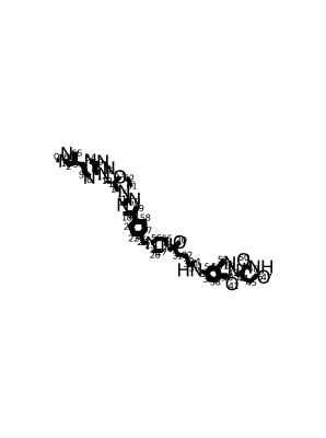 Cn1cc(-c2cnc3c(nnn3C[C@@H]3CN(c4ncc(-c5ccc(CN6CCN(C(=O)CCCCNc7ccc8c(=O)n(C9CCC(=O)NC9=O)ncc8c7)CC6)cc5)cn4)CCO3)n2)cn1